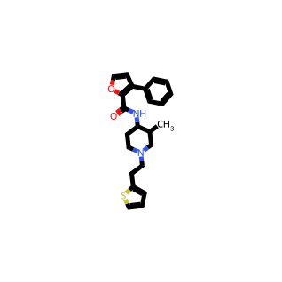 CC1CN(CCc2cccs2)CCC1NC(=O)c1occc1-c1ccccc1